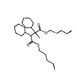 CCCCCOC(=O)C(C1CCCCC1)C(C)(C(=O)OCCCCC)C1CCCCC1